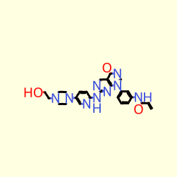 C=CC(=O)Nc1cccc(-n2cnc(=O)c3cnc(Nc4ccc(N5CCN(CCO)CC5)cn4)nc32)c1